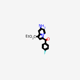 CCOC(=O)c1cc(C(=O)c2ccc(F)cc2)n2ccc(N)cc12